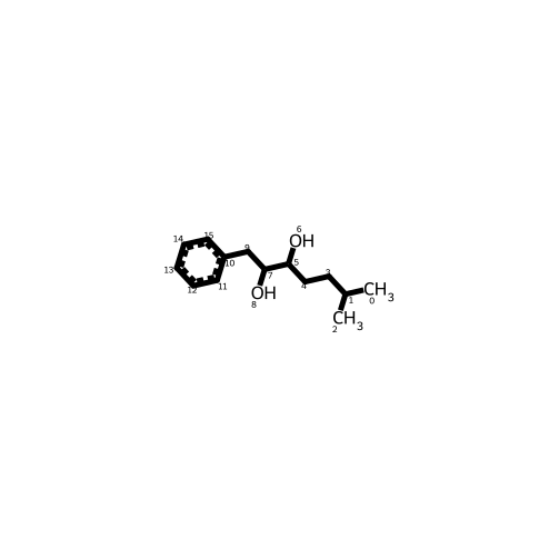 CC(C)CCC(O)C(O)Cc1ccccc1